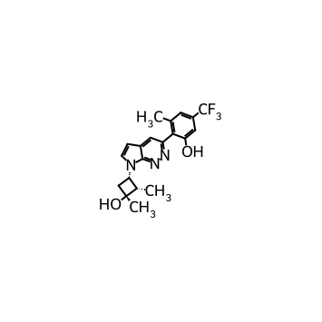 Cc1cc(C(F)(F)F)cc(O)c1-c1cc2ccn([C@H]3C[C@@](C)(O)[C@H]3C)c2nn1